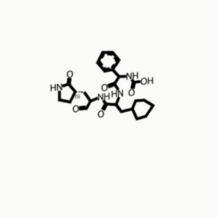 O=CC(C[C@@H]1CCNC1=O)NC(=O)C(CC1CCCCC1)NC(=O)C(NC(=O)O)c1ccccc1